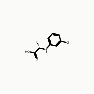 O=C(O)[C@H](F)Nc1cccc(Cl)c1